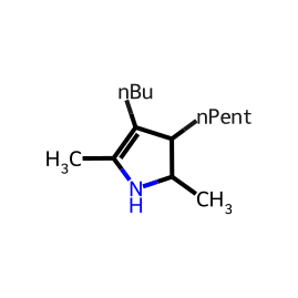 CCCCCC1C(CCCC)=C(C)NC1C